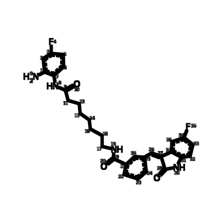 Nc1cc(F)ccc1NC(=O)CCCCCCCNC(=O)c1cccc(C=C2C(=O)Nc3ccc(F)cc32)c1